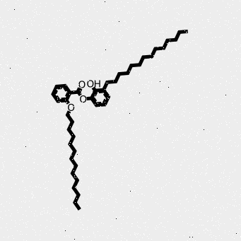 CCCCCCCCCCCCCCOc1ccccc1C(=O)Oc1cccc(CCCCCCCCCCCCCC)c1O